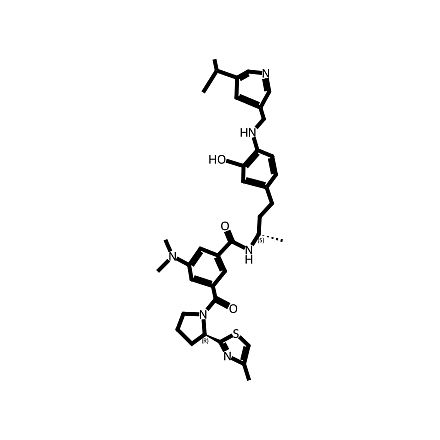 Cc1csc([C@H]2CCCN2C(=O)c2cc(C(=O)N[C@@H](C)CCc3ccc(NCc4cncc(C(C)C)c4)c(O)c3)cc(N(C)C)c2)n1